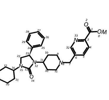 COC(=O)c1ccc(CN2CCC(N3C(=O)N(C4CCCCC4)C[C@H]3c3ccccc3)CC2)cn1